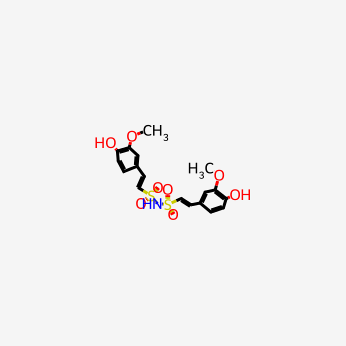 COc1cc(/C=C/S(=O)(=O)NS(=O)(=O)/C=C/c2ccc(O)c(OC)c2)ccc1O